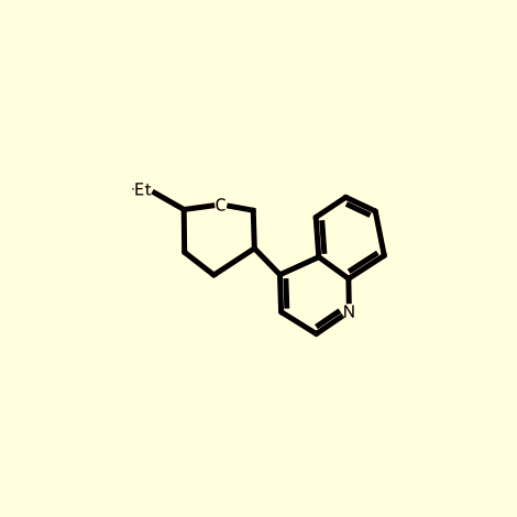 C[CH]C1CCC(c2ccnc3ccccc23)CC1